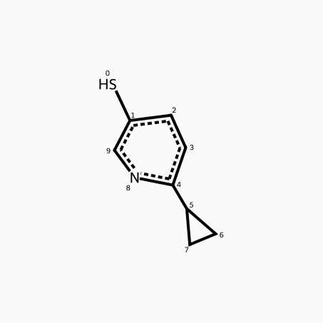 Sc1ccc(C2CC2)nc1